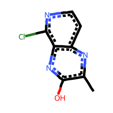 Cc1nc2ccnc(Cl)c2nc1O